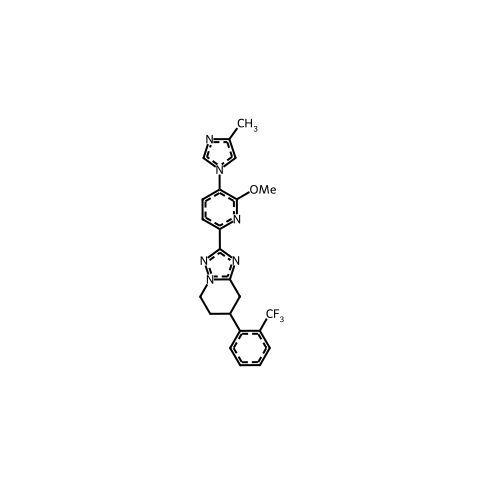 COc1nc(-c2nc3n(n2)CCC(c2ccccc2C(F)(F)F)C3)ccc1-n1cnc(C)c1